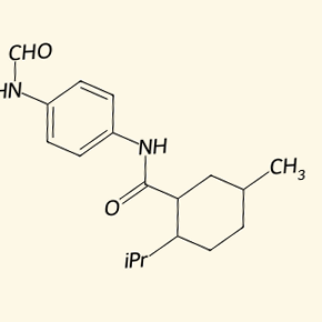 CC1CCC(C(C)C)C(C(=O)Nc2ccc(NC=O)cc2)C1